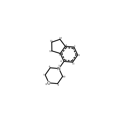 c1cc2c(c(N3CCOCC3)c1)CCC2